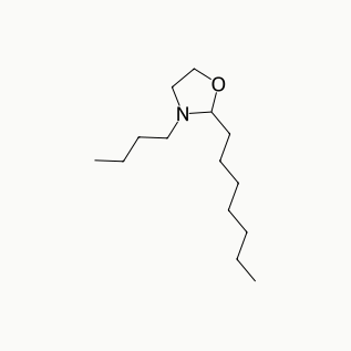 CCCCCCCC1OCCN1CCCC